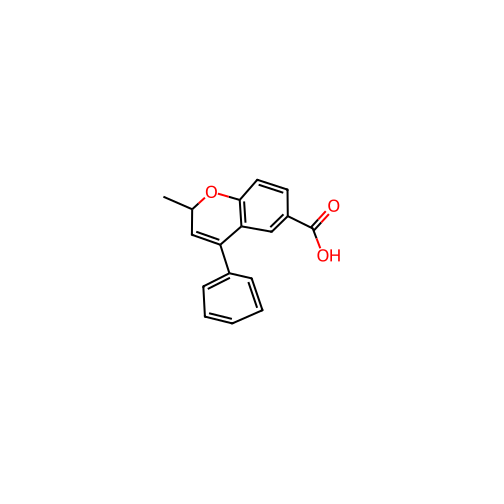 CC1C=C(c2ccccc2)c2cc(C(=O)O)ccc2O1